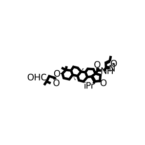 Cc1cc(NC(=O)C23CCC4C(CCC5[C@@]4(C)CCC4C(C)(C)[C@@H](OC(=O)CC(C)(C)C=O)CC[C@@]45C)C2=C(C(C)C)C(=O)C3)no1